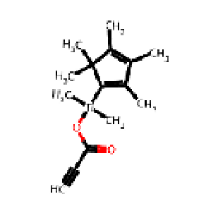 C#CC(=O)[O][Ti]([CH3])([CH3])[C]1=C(C)C(C)=C(C)C1(C)C